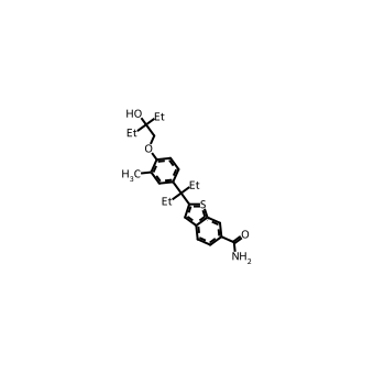 CCC(O)(CC)COc1ccc(C(CC)(CC)c2cc3ccc(C(N)=O)cc3s2)cc1C